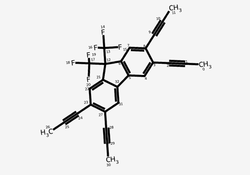 CC#Cc1cc2c(cc1C#CC)C(C(F)(F)F)(C(F)(F)F)c1cc(C#CC)c(C#CC)cc1-2